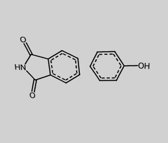 O=C1NC(=O)c2ccccc21.Oc1ccccc1